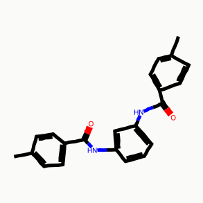 Cc1ccc(C(=O)Nc2cccc(NC(=O)c3ccc(C)cc3)c2)cc1